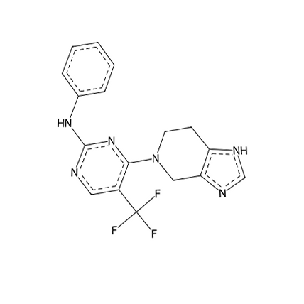 FC(F)(F)c1cnc(Nc2ccccc2)nc1N1CCc2[nH]cnc2C1